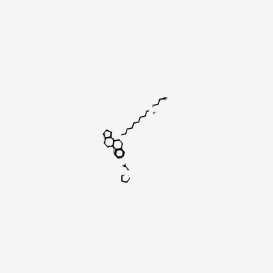 C[C@]12CC[C@@H]3c4ccc(OC(=O)CN5CCCC5)cc4C[C@@H](CCCCCCCCC[S+]([O-])CCCC(F)(F)C(F)(F)F)[C@H]3[C@@H]1CC[C@@H]2O.Cl